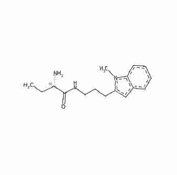 CC[C@H](N)C(=O)NCCCc1cc2ccccc2n1C